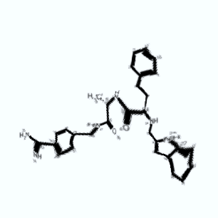 C[C@H](NC(=O)[C@@H](CCc1ccccc1)NCc1cc2ccccc2[nH]1)C(=O)NCc1ccc(C(=N)N)cc1